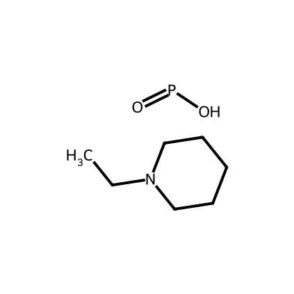 CCN1CCCCC1.O=PO